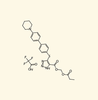 CCC(=O)OCOC(=O)c1[nH]nnc1Sc1ccc(-c2ccc(N3CCCCC3)cc2)cc1.O=C(O)C(F)(F)F